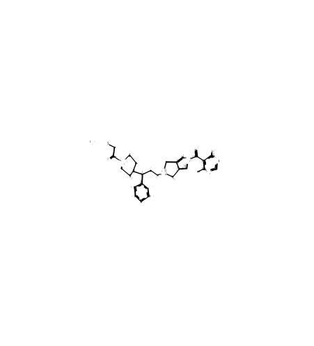 COCC(=O)N1CCC(C(CCN2CC3=CN(C(=O)c4c(C)ncnc4C)CC3C2)c2ccccc2)CC1